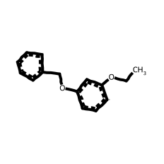 CCOc1[c]ccc(OCc2ccccc2)c1